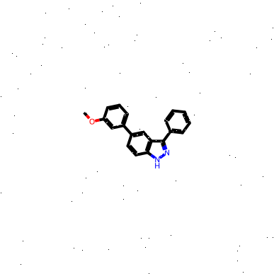 COc1cccc(-c2ccc3[nH]nc(-c4ccccc4)c3c2)c1